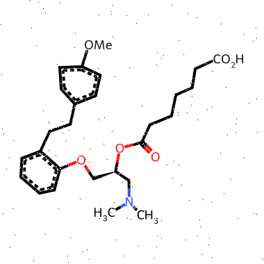 COc1ccc(CCc2ccccc2OC[C@H](CN(C)C)OC(=O)CCCCCC(=O)O)cc1